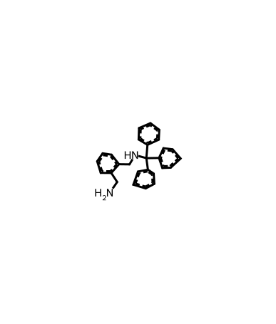 NCc1ccccc1CNC(c1ccccc1)(c1ccccc1)c1ccccc1